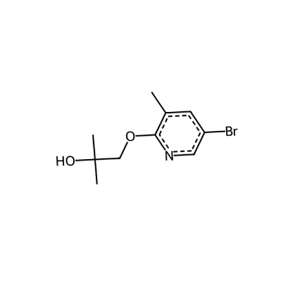 Cc1cc(Br)cnc1OCC(C)(C)O